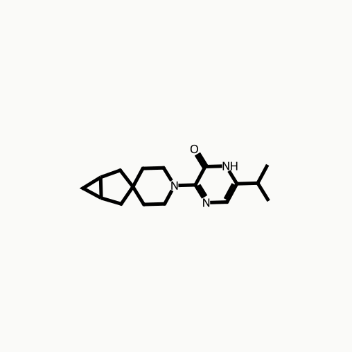 CC(C)c1cnc(N2CCC3(CC2)CC2CC2C3)c(=O)[nH]1